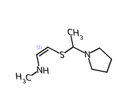 CN/C=C\SC(C)N1CCCC1